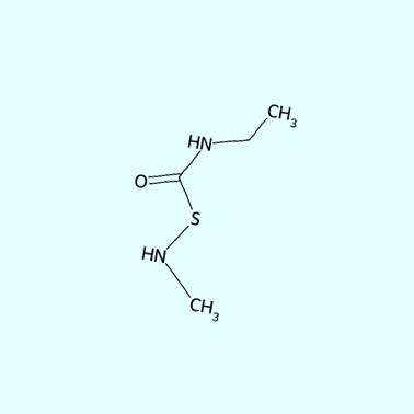 CCNC(=O)SNC